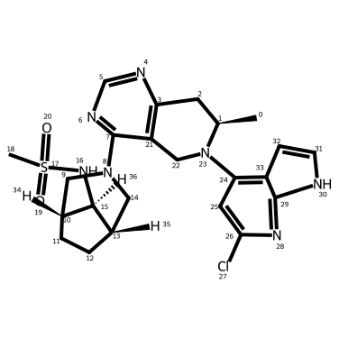 C[C@@H]1Cc2ncnc(N3C[C@H]4CC[C@@H](C3)[C@@H]4NS(C)(=O)=O)c2CN1c1cc(Cl)nc2[nH]ccc12